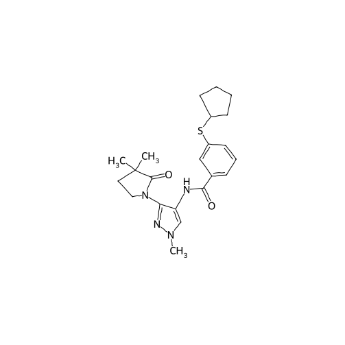 Cn1cc(NC(=O)c2cccc(SC3CCCC3)c2)c(N2CCC(C)(C)C2=O)n1